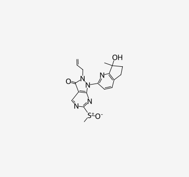 C=CCn1c(=O)c2cnc([S+](C)[O-])nc2n1-c1ccc2c(n1)C(C)(O)CC2